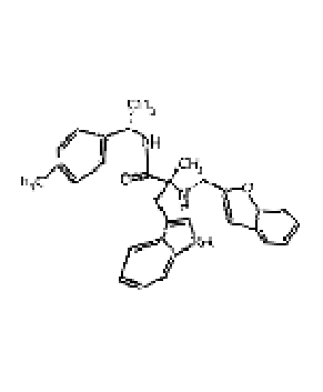 Cc1ccc([C@H](C)NC(=O)[C@@](C)(Cc2c[nH]c3ccccc23)NCc2cc3ccccc3o2)cc1